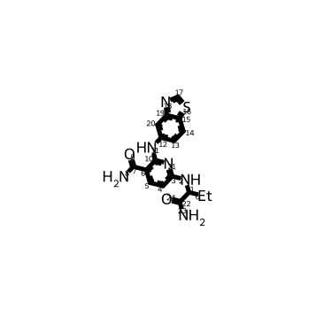 CCC(Nc1ccc(C(N)=O)c(Nc2ccc3scnc3c2)n1)C(N)=O